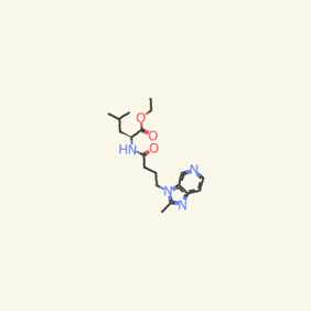 CCOC(=O)[C@H](CC(C)C)NC(=O)CCCn1c(C)nc2ccncc21